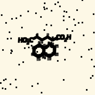 O=C(O)CCCCC(=O)O.c1ccc2ncccc2c1